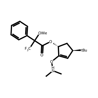 COC(C(=O)O[C@@H]1C[C@@H](C(C)(C)C)C=C1O[SiH](C)C)(c1ccccc1)C(F)(F)F